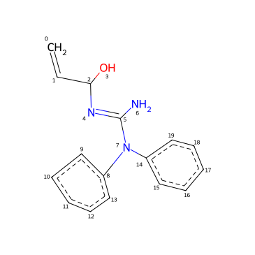 C=CC(O)N=C(N)N(c1ccccc1)c1ccccc1